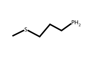 CSCCCP